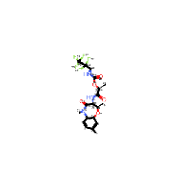 Cc1ccc2c(c1)O[C@H](C)[C@H](NC(=O)[C@H](C)OC(=O)NCC(F)(F)C(F)(F)F)C(=O)N2C